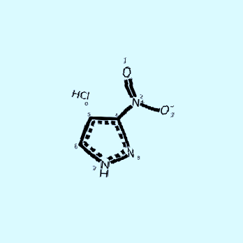 Cl.O=[N+]([O-])c1cc[nH]n1